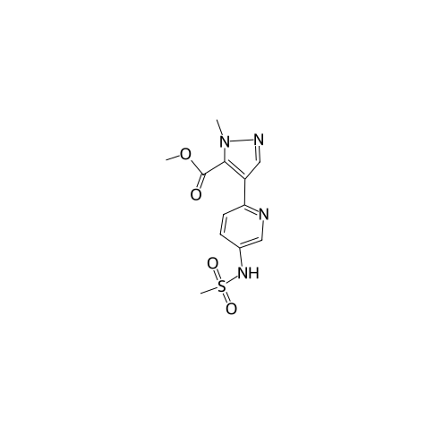 COC(=O)c1c(-c2ccc(NS(C)(=O)=O)cn2)cnn1C